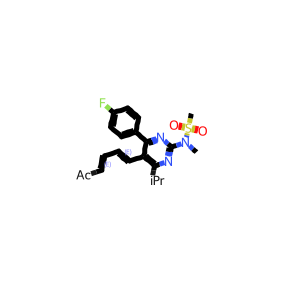 CC(=O)/C=C/C=C/c1c(-c2ccc(F)cc2)nc(N(C)S(C)(=O)=O)nc1C(C)C